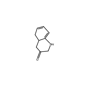 O=C1CNC2=CC=CCC2C1